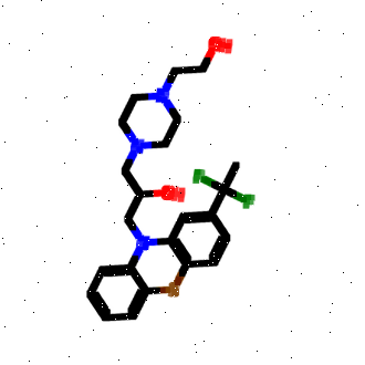 CC(F)(F)c1ccc2c(c1)N(CC(O)CN1CCN(CCO)CC1)c1ccccc1S2